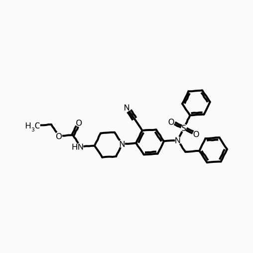 CCOC(=O)NC1CCN(c2ccc(N(Cc3ccccc3)S(=O)(=O)c3ccccc3)cc2C#N)CC1